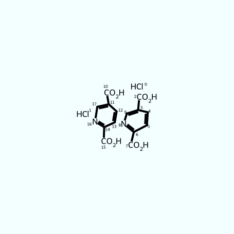 Cl.Cl.O=C(O)c1ccc(C(=O)O)nc1.O=C(O)c1ccc(C(=O)O)nc1